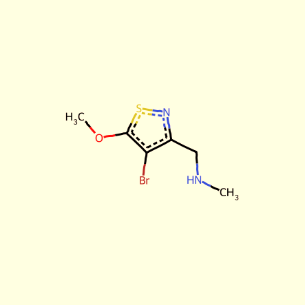 CNCc1nsc(OC)c1Br